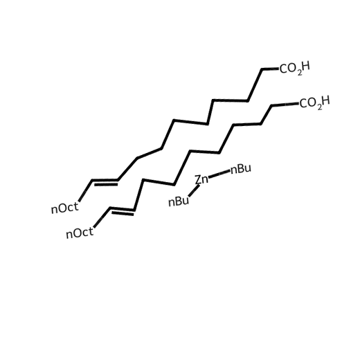 CCCCCCCCC=CCCCCCCCC(=O)O.CCCCCCCCC=CCCCCCCCC(=O)O.CCC[CH2][Zn][CH2]CCC